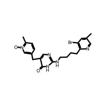 Cc1cnc(CCCCNc2ncc(Cc3ccc(C)[n+]([O-])c3)c(=O)[nH]2)c(Br)c1